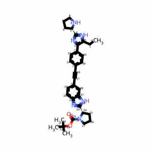 CCc1[nH]c([C@@H]2CCCN2)nc1-c1ccc(C#Cc2ccc3nc([C@@H]4CCCN4C(=O)OC(C)(C)C)[nH]c3c2)cc1